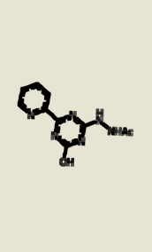 CC(=O)NNc1nc(O)nc(-c2ccccn2)n1